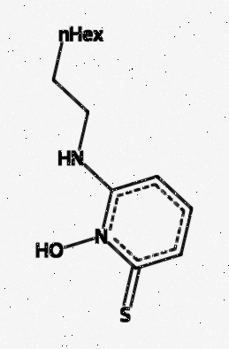 CCCCCCCCNc1cccc(=S)n1O